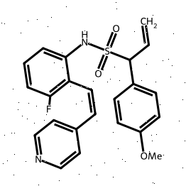 C=CC(c1ccc(OC)cc1)S(=O)(=O)Nc1cccc(F)c1C=Cc1ccncc1